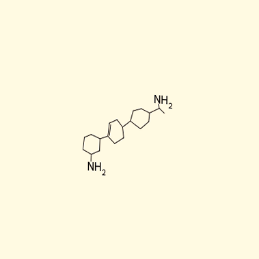 CC(N)C1CCC(C2CC=C(C3CCCC(N)C3)CC2)CC1